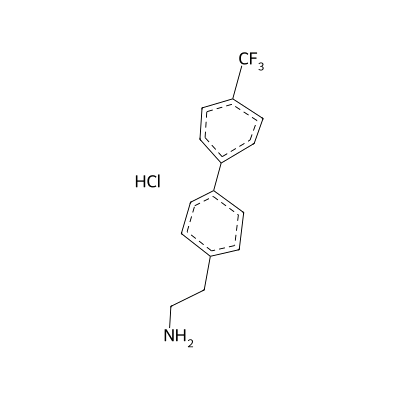 Cl.NCCc1ccc(-c2ccc(C(F)(F)F)cc2)cc1